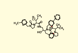 CCC(C)C(C(=O)NCC(O)C(Cc1ccccc1)N(Cc1ccc(-c2ccccn2)cc1)NC(=O)C(C(C)C)N1CCCC1=O)N1CCN(Cc2cccc(C)n2)C1=O